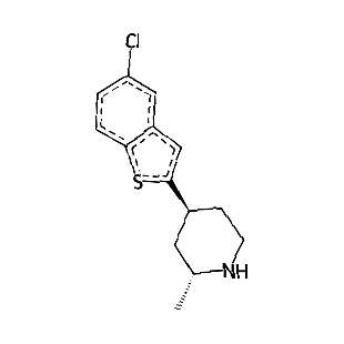 C[C@@H]1C[C@@H](c2cc3cc(Cl)ccc3s2)CCN1